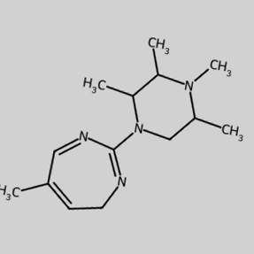 CC1=CCN=C(N2CC(C)N(C)C(C)C2C)N=C1